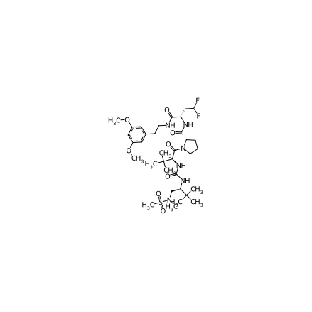 COc1cc(CCNC(=O)[C@H](CC(F)F)NC(=O)[C@@H]2CCCN2C(=O)[C@@H](NC(=O)N[C@H](CN(C)S(C)(=O)=O)C(C)(C)C)C(C)(C)C)cc(OC)c1